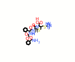 Cn1nnnc1SCC1=C(C(=O)O)N2C(=O)C(NC(=O)[C@@H](NC(=O)COc3ccccc3C(N)=O)c3ccccc3)[C@@H]2SC1